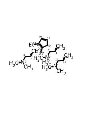 C=CCN(C)C.C=CCN(C)C.C=CCN(C)C.CCC1=[C]([Zr])CC=C1